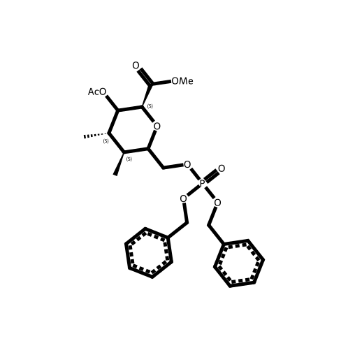 COC(=O)[C@H]1OC(COP(=O)(OCc2ccccc2)OCc2ccccc2)[C@@H](C)[C@H](C)C1OC(C)=O